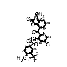 Cc1ccc(S(=O)(=O)Nc2cc(Cl)cnc2C(=O)c2cccc3c2oc(=O)n3C)cc1C(F)(F)F